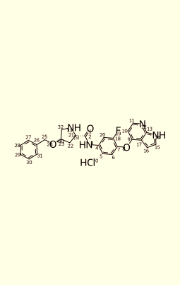 Cl.O=C(Nc1ccc(Oc2ccnc3[nH]ccc23)c(F)c1)[C@@H]1C[C@@H](OCc2ccccc2)CN1